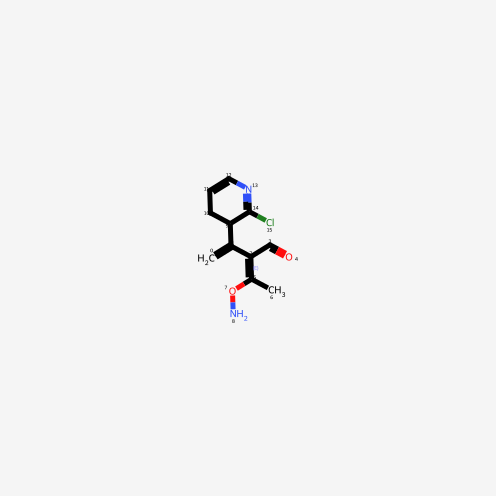 C=C(/C(C=O)=C(/C)ON)C1CC=CN=C1Cl